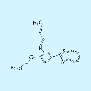 C/C=C/C=Nc1cc(-c2nc3ccccc3s2)ccc1OCCOCC